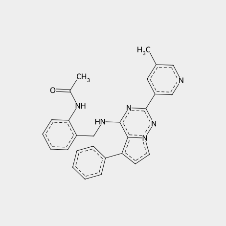 CC(=O)Nc1ccccc1CNc1nc(-c2cncc(C)c2)nn2ccc(-c3ccccc3)c12